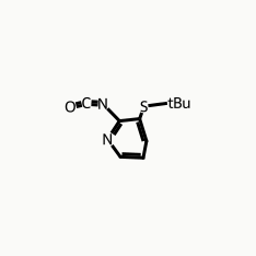 CC(C)(C)Sc1cccnc1N=C=O